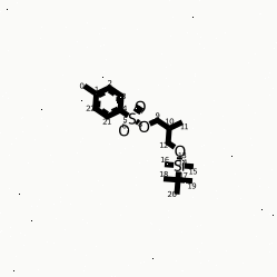 Cc1ccc(S(=O)(=O)OCC(C)CO[Si](C)(C)C(C)(C)C)cc1